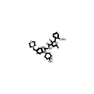 COc1ccccc1-c1nc(C)cc(C(=O)Nc2nc3cc(CN4CCOCC4)ccc3n2[C@H]2CC[C@@](C)(O)CC2)c1F